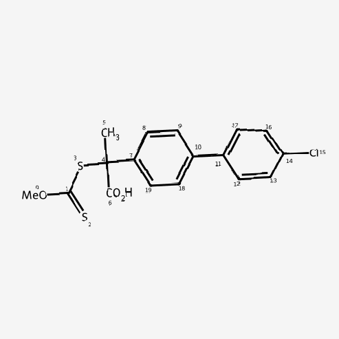 COC(=S)SC(C)(C(=O)O)c1ccc(-c2ccc(Cl)cc2)cc1